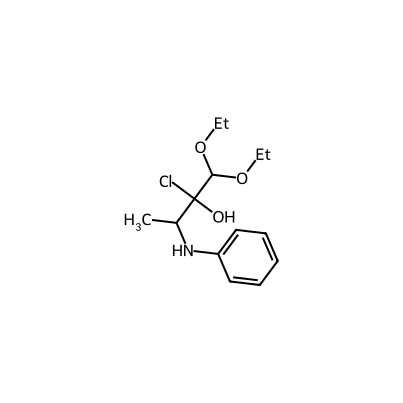 CCOC(OCC)C(O)(Cl)C(C)Nc1ccccc1